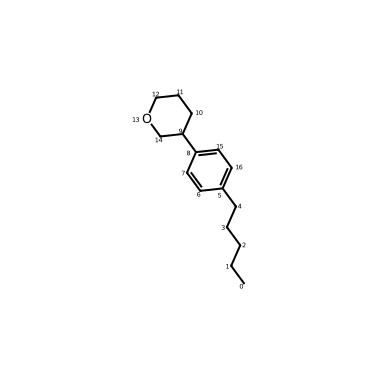 CCCCCc1ccc(C2CCCOC2)cc1